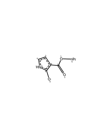 CCCOC(=O)c1cc[nH]c1[O]